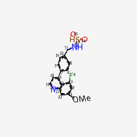 COc1cc(F)c2c(-c3ccc(CN[SH](=O)=O)cc3)ccnc2c1